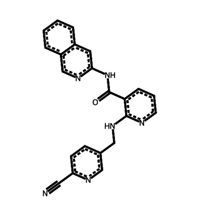 N#Cc1ccc(CNc2ncccc2C(=O)Nc2cc3ccccc3cn2)cn1